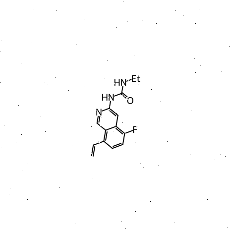 C=Cc1ccc(F)c2cc(NC(=O)NCC)ncc12